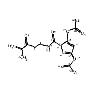 C=C(C)C(=O)CCNC(=O)n1nc(OC(=O)CC)cc1OC(=O)CC